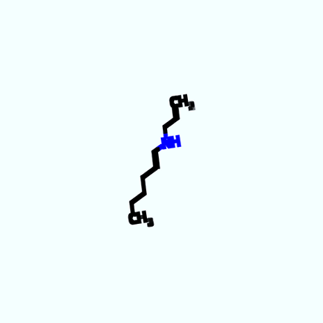 C=CCNC=CCCCC